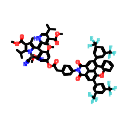 COC(=O)C1=C(C)/C(=C(\c2c(OC)cc(OC(=O)Cc3ccc(-n4c(=O)c5cc(-c6cc(C(F)(F)F)cc(C(F)(F)F)c6)c6oc7ccccc7c7c(-c8cc(C(F)(F)F)cc(C(F)(F)F)c8)cc(c4=O)c5c67)cc3)cc2OC)c2c(C)c(C(=O)OC)c(C(C)C)n2B(C#N)C#N)NC=C1C(C)C